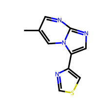 Cc1cnc2ncc(-c3cscn3)n2c1